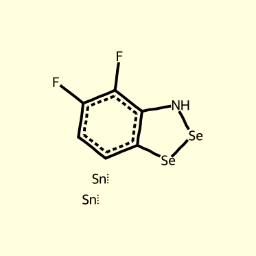 Fc1ccc2c(c1F)N[Se][Se]2.[Sn].[Sn]